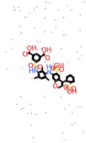 Cc1cc(C)c(NS(=O)(=O)c2cc(C(=O)O)cc(C(=O)O)c2)c(C)c1Nc1cc2c(cc1S(=O)(=O)O)C(c1ccccc1S(=O)(=O)O)=CCO2